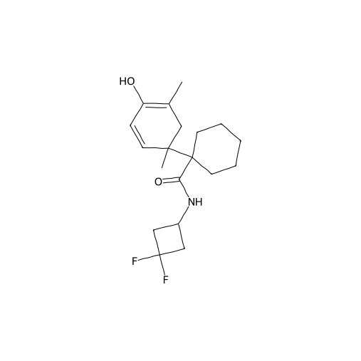 CC1=C(O)C=CC(C)(C2(C(=O)NC3CC(F)(F)C3)CCCCC2)C1